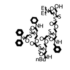 CCCCNC(=O)CN(CCOC(=O)CSC(=S)N(CCOC(=O)CSC(=S)N(CCO)CC(=O)N(CC)CC)CC(=O)NCc1ccccc1)C(=S)SCC(=O)OCCN(CC(=O)NC1CCCCC1)C(=S)SCC(=O)N(c1ccccc1)c1ccccc1